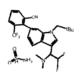 CN(C)C(c1cn(CC(C)(C)C)c2cc(-c3c(C#N)cccc3C(F)(F)F)ccc12)C(F)F.N[SH](=O)=O